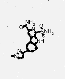 Cn1ccc(-c2ccc3[nH]c4c(S(N)(=O)=O)nc(C(N)=O)cc4c3c2)n1